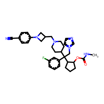 CNC(=O)OC1CCCC1C(Cn1ccnc1)(c1cccc(F)c1)C1CCN(CC2CN(c3ccc(C#N)cc3)C2)CC1